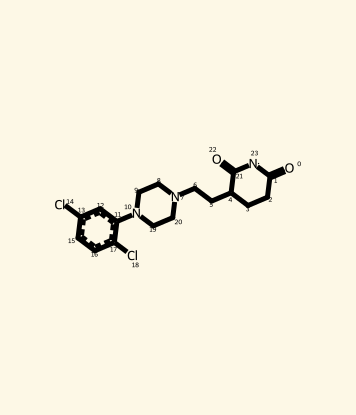 O=C1CCC(CCN2CCN(c3cc(Cl)ccc3Cl)CC2)C(=O)[N]1